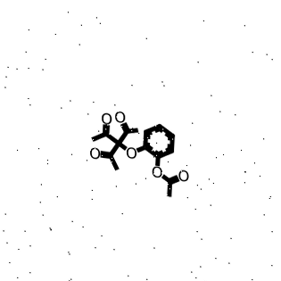 CC(=O)Oc1ccccc1OC(C(C)=O)(C(C)=O)C(C)=O